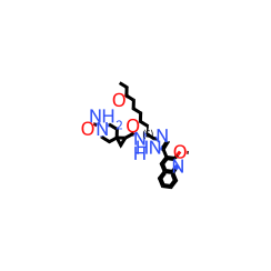 CCC(=O)CCCCC[C@H](NC(=O)C1CC12CCN(C(N)=O)CC2)c1ncc(-c2cc3ccccc3nc2OC)[nH]1